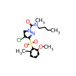 CCCCN(C)C(=O)n1cc(Cl)c(S(=O)(=O)c2c(C)cccc2OC)n1